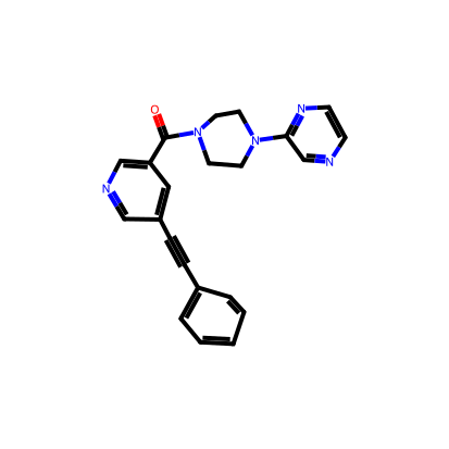 O=C(c1cncc(C#Cc2ccccc2)c1)N1CCN(c2cnccn2)CC1